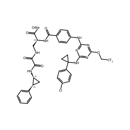 COC(=O)[C@H](CNC(=O)C(=O)N[C@H]1C[C@H]1c1ccccc1)NC(=O)c1ccc(Nc2nc(NC3(c4ccc(Cl)cc4)CC3)nc(OCC(F)(F)F)n2)cc1